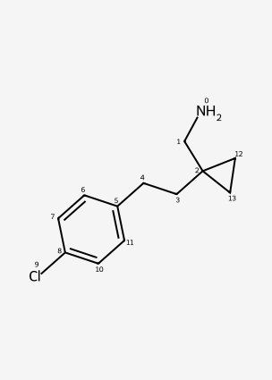 NCC1(CCc2ccc(Cl)cc2)CC1